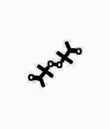 CC(=O)C(C)(C)OOC(C)(C)C(C)=O